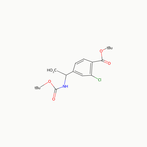 CC(C)(C)OC(=O)NC(C(=O)O)c1ccc(C(=O)OC(C)(C)C)c(Cl)c1